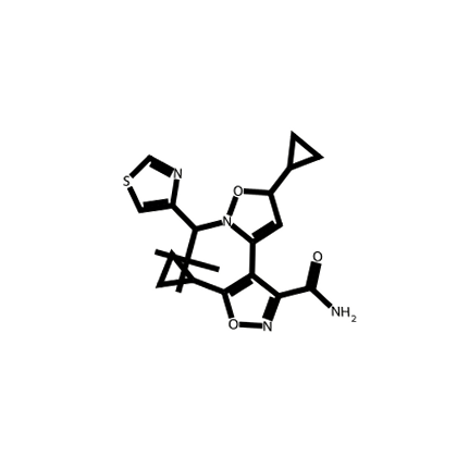 CC(C)(C)C(c1cscn1)N1OC(C2CC2)C=C1c1c(C(N)=O)noc1C1CC1